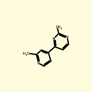 Cc1cc(-c2ccnc(C)n2)ccn1